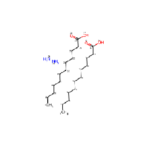 CCCCCCCCCCCC(=O)O.CCCCCCCCCCCC(=O)O.N.N